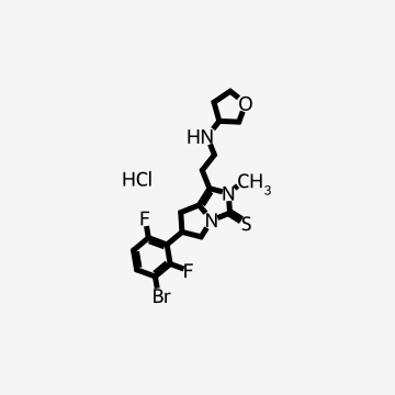 Cl.Cn1c(CCNC2CCOC2)c2n(c1=S)CC(c1c(F)ccc(Br)c1F)C2